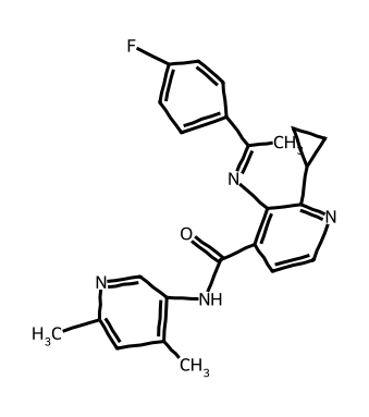 C/C(=N\c1c(C(=O)Nc2cnc(C)cc2C)ccnc1C1CC1)c1ccc(F)cc1